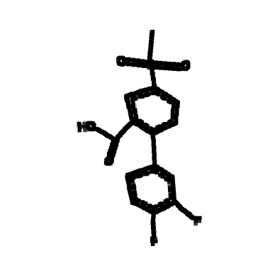 CS(=O)(=O)c1ccc(-c2ccc(F)c(F)c2)c(C(=O)O)c1